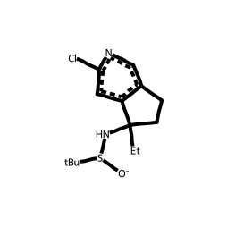 CCC1(N[S+]([O-])C(C)(C)C)CCc2cnc(Cl)cc21